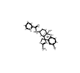 NC1=NC2(CS1)c1cc(Br)ccc1O[C@H]1CCC(NC(=O)c3ccccn3)C[C@@H]12